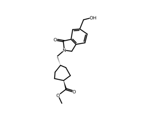 COC(=O)[C@H]1CC[C@H](CN2Cc3ccc(CO)cc3C2=O)CC1